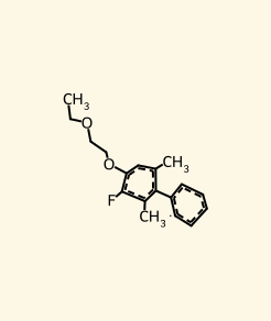 CCOCCOc1cc(C)c(-c2[c]cccc2)c(C)c1F